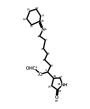 O=COC(CCCCCCN=C1CCCCC1)C1CNC(=O)C1